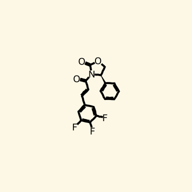 O=C(C=Cc1cc(F)c(F)c(F)c1)N1C(=O)OC[C@H]1c1ccccc1